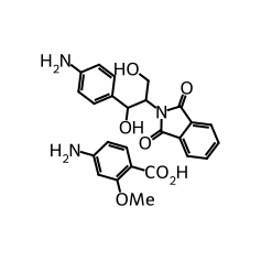 COc1cc(N)ccc1C(=O)O.Nc1ccc(C(O)C(CO)N2C(=O)c3ccccc3C2=O)cc1